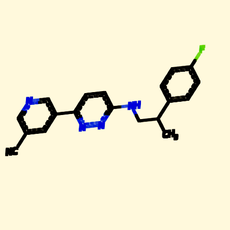 CC(CNc1ccc(-c2cncc(C#N)c2)nn1)c1ccc(F)cc1